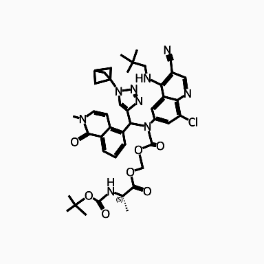 C[C@H](NC(=O)OC(C)(C)C)C(=O)OCOC(=O)N(c1cc(Cl)c2ncc(C#N)c(NCC(C)(C)C)c2c1)C(c1cn(C23CC(C2)C3)nn1)c1cccc2c(=O)n(C)ccc12